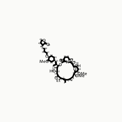 CC[C@@H]1/C=C(\C)C[C@H](C)C[C@H](OC)C2O[C@@](O)(C(=O)C(=O)N3CCCC[C@H]3C(=O)O[C@H](/C(C)=C/[C@@H]3CC[C@@H](OCCCSC4CCOC4=O)[C@H](OC)C3)[C@H](C)[C@@H](O)CC1=O)[C@H](C)C[C@@H]2OC